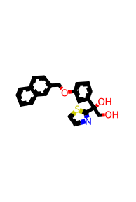 OCC(O)(c1cccc(OCc2ccc3ccccc3c2)c1)c1nccs1